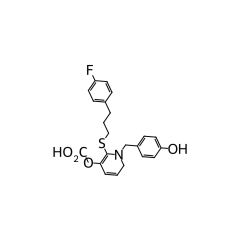 O=C(O)OC1=C(SCCCc2ccc(F)cc2)N(Cc2ccc(O)cc2)CC=C1